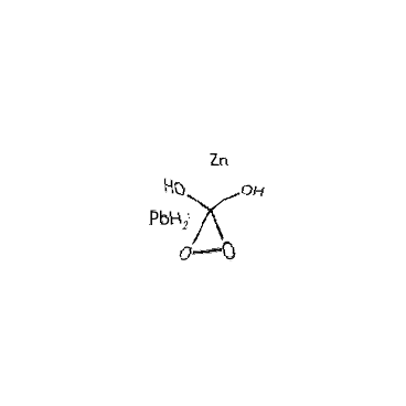 OC1(O)OO1.[PbH2].[Zn]